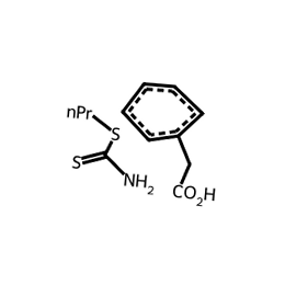 CCCSC(N)=S.O=C(O)Cc1ccccc1